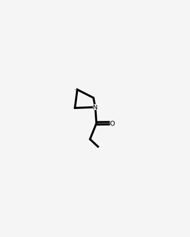 CCC(=O)N1C[CH]C1